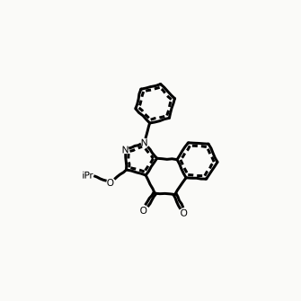 CC(C)Oc1nn(-c2ccccc2)c2c1C(=O)C(=O)c1ccccc1-2